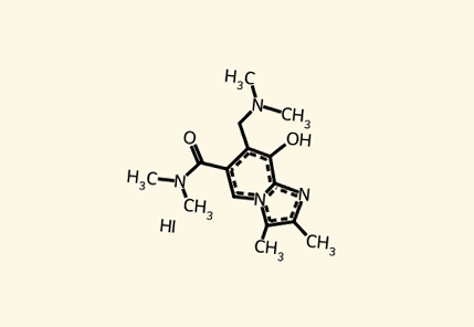 Cc1nc2c(O)c(CN(C)C)c(C(=O)N(C)C)cn2c1C.I